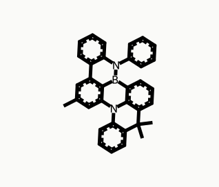 Cc1cc2c3c(c1)N1c4ccccc4C(C)(C)c4cccc(c41)B3N(c1ccccc1)c1ccccc1-2